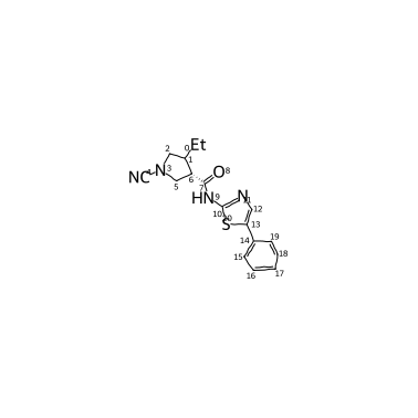 CCC1CN(C#N)C[C@H]1C(=O)Nc1ncc(-c2ccccc2)s1